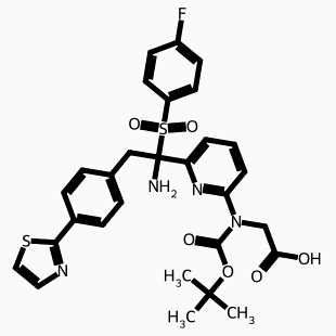 CC(C)(C)OC(=O)N(CC(=O)O)c1cccc(C(N)(Cc2ccc(-c3nccs3)cc2)S(=O)(=O)c2ccc(F)cc2)n1